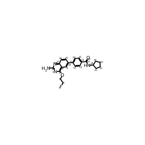 Nc1nc(OCCF)c2cc(-c3ccc(C(=O)NC4CCCC4)cc3)ccc2n1